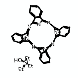 CC[Si](O)(CC)CC.c1ccc2c(c1)-c1nc-2nc2[nH]c(nc3nc(nc4[nH]c(n1)c1ccccc41)-c1ccccc1-3)c1ccccc21